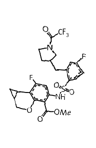 COC(=O)c1c(NS(=O)(=O)c2ccc(F)cc2CC2CCN(C(=O)C(F)(F)F)C2)cc(F)c2c1OCC1CC21